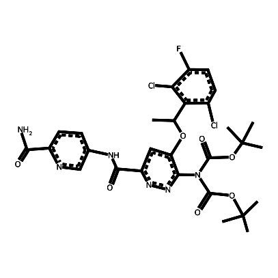 CC(Oc1cc(C(=O)Nc2ccc(C(N)=O)nc2)nnc1N(C(=O)OC(C)(C)C)C(=O)OC(C)(C)C)c1c(Cl)ccc(F)c1Cl